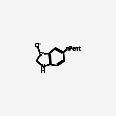 CCCCCc1ccc2c(c1)[S+]([O-])CN2